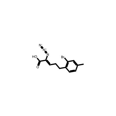 Cc1ccc(CCC=C(N=[N+]=[N-])C(=O)O)c(Br)c1